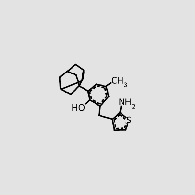 Cc1cc(Cc2ccsc2N)c(O)c(C23CC4CC(CC(C4)C2)C3)c1